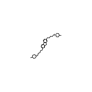 CC1CCN(CCCCCc2ccc3c(c2)Cc2cc(CCCCCN4CCC(C)CC4)ccc2-3)CC1